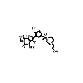 CCCn1c(=O)n2cnnc2c2[nH]c(-c3cc(S(=O)(=O)N4CCCN(CCO)CC4)ccc3OCC)c(Cl)c21